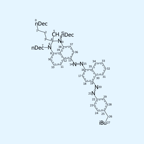 CCCCCCCCCCCCCC1(C)N(CCCCCCCCCC)c2cccc3c(/N=N/c4ccc(/N=N/c5ccc(CC(C)CC)cc5)c5ccccc45)ccc(c23)N1CCCCCCCCCC